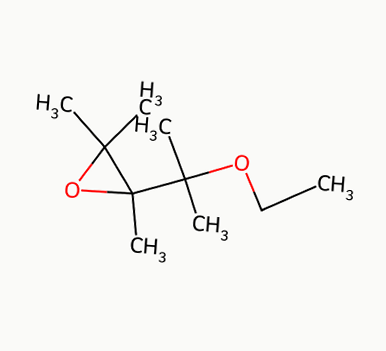 CCOC(C)(C)C1(C)OC1(C)C